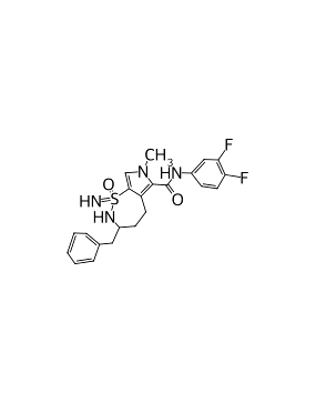 Cn1cc2c(c1C(=O)Nc1ccc(F)c(F)c1)CCC(Cc1ccccc1)NS2(=N)=O